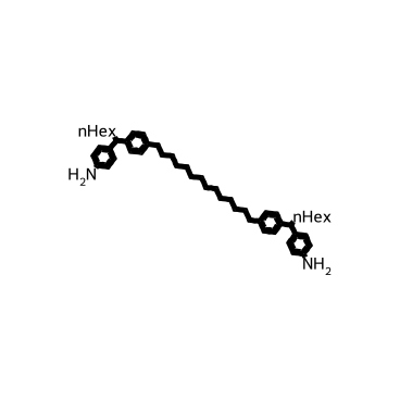 CCCCCCC(c1ccc(N)cc1)c1ccc(CCCCCCCCCCCCCCc2ccc(C(CCCCCC)c3ccc(N)cc3)cc2)cc1